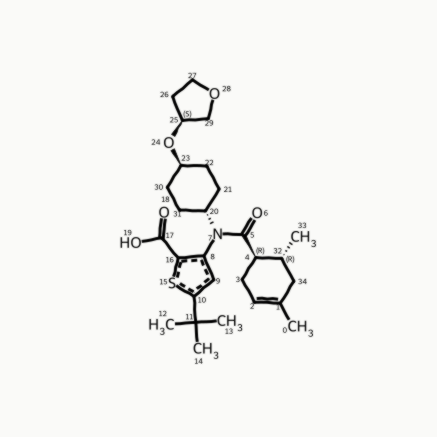 CC1=CC[C@@H](C(=O)N(c2cc(C(C)(C)C)sc2C(=O)O)[C@H]2CC[C@H](O[C@H]3CCOC3)CC2)[C@H](C)C1